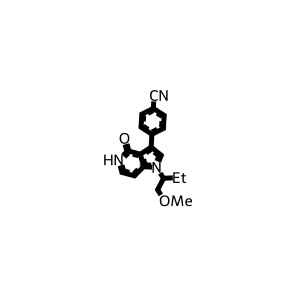 CCC(COC)n1cc(-c2ccc(C#N)cc2)c2c(=O)[nH]ccc21